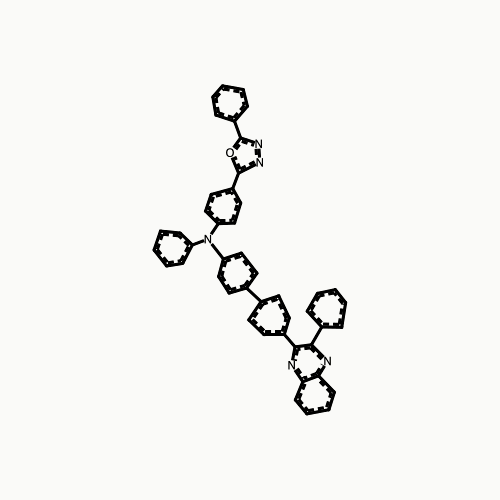 c1ccc(-c2nnc(-c3ccc(N(c4ccccc4)c4ccc(-c5ccc(-c6nc7ccccc7nc6-c6ccccc6)cc5)cc4)cc3)o2)cc1